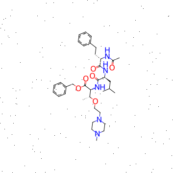 CC(=O)N[C@@H](CCc1ccccc1)C(=O)N[C@@H](CC(C)C)C(=O)N[C@H](C(=O)OCc1ccccc1)[C@@H](C)OCCN1CCN(C)CC1